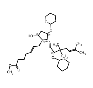 COC(=O)CCCC=CC[C@@H]1[C@@H](C=C[C@@H](OC2CCCCO2)C(C)(C)CC=C(C)C)[C@H](OC2CCCCO2)C[C@H]1O